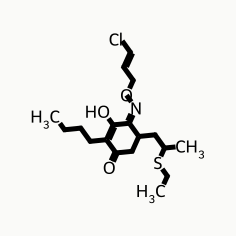 CCCCC1=C(O)C(=NOCC=CCl)C(CC(C)SCC)CC1=O